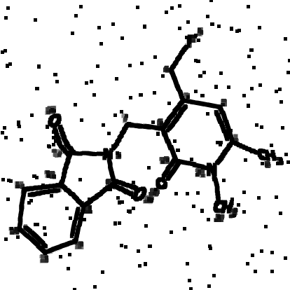 Cc1cc(CF)c(CN2C(=O)c3ccccc3C2=O)c(=O)n1C